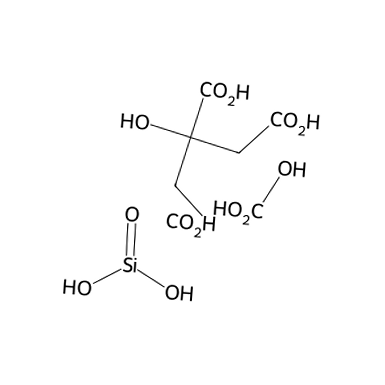 O=C(O)CC(O)(CC(=O)O)C(=O)O.O=C(O)O.O=[Si](O)O